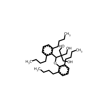 CCCCc1cccc(CCCC)c1OC(c1c(CCCC)cccc1CCCC)C(CO)(CO)CO